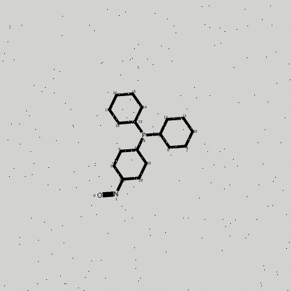 O=NC1CCC(P(C2CCCCC2)C2CCCCC2)CC1